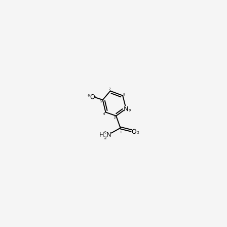 NC(=O)c1cc([O])ccn1